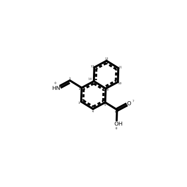 N=Cc1ccc(C(=O)O)c2ccccc12